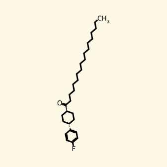 CCCCCCCCCCCCCCCCCC(=O)[C@H]1CC[C@H](c2ccc(F)cc2)CC1